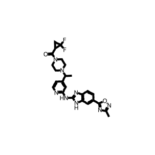 Cc1noc(-c2ccc3nc(Nc4cc(C(C)N5CCN(C(=O)C6CC6(F)F)CC5)ccn4)[nH]c3c2)n1